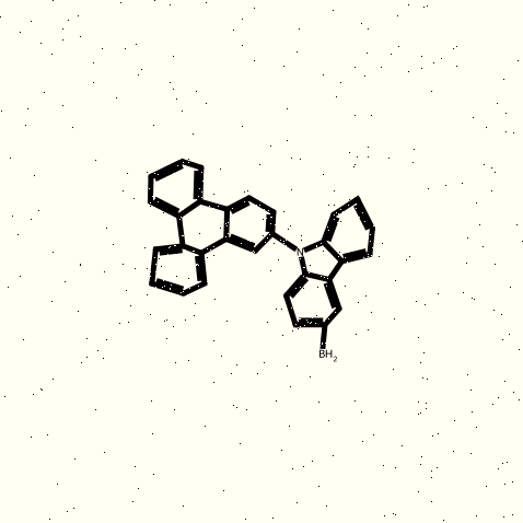 Bc1ccc2c(c1)c1ccccc1n2-c1ccc2c3ccccc3c3ccccc3c2c1